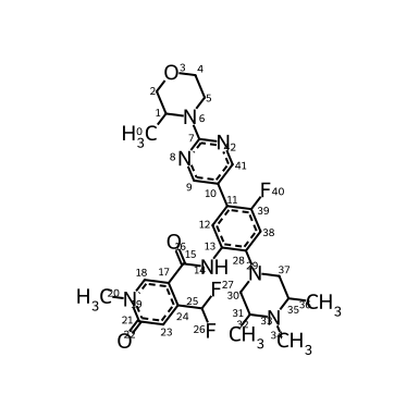 CC1COCCN1c1ncc(-c2cc(NC(=O)c3cn(C)c(=O)cc3C(F)F)c(N3CC(C)N(C)C(C)C3)cc2F)cn1